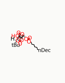 CCCCCCCCCCCCCCCCOC(=O)OC[C@H]1OC(=O)[C@@](C)(O)[C@@H]1OC(=O)OC(C)(C)C